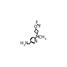 CN(c1ccc(CN)cn1)C1CC(OC(F)F)C1